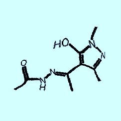 CC(=O)N/N=C(\C)c1c(C)nn(C)c1O